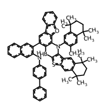 Cc1cc2c(cc1N1c3c(sc4cc5c(cc34)C(C)(C)CCC5(C)C)Bc3c(-c4cc5ccccc5cc4Nc4ccc(-c5ccccc5)cc4)cc4c(oc5ccccc54)c31)C(C)(C)CCC2(C)C